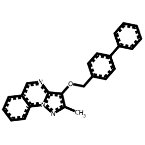 Cc1nn2c(ncc3ccccc32)c1OCc1ccc(-c2ccccc2)cc1